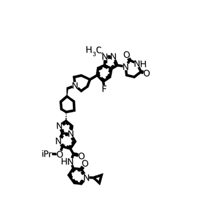 CC(C)Oc1nc2nc([C@H]3CC[C@H](CN4CCC(c5cc6c(cc5F)c(N5CCC(=O)NC5=O)nn6C)CC4)CC3)cn2cc1C(=O)Nc1cccn(C2CC2)c1=O